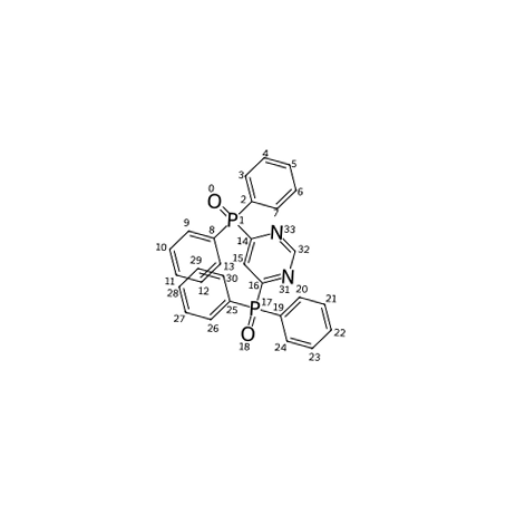 O=P(c1ccccc1)(c1ccccc1)c1cc(P(=O)(c2ccccc2)c2ccccc2)ncn1